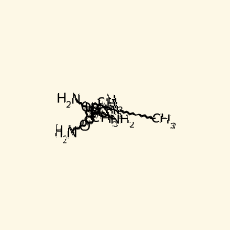 CCCCCCCCCCCCCCNCCC[C@@H](C)C1CC[C@H]2C3[C@H](OCCCN)CC4C[C@H](OCCCN)CCC4(C)[C@H]3C[C@H](OCCCN)C12C